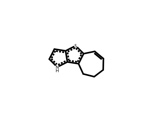 C1=Cc2sc3cc[nH]c3c2CCC1